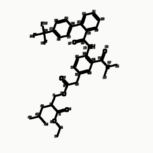 CCOC(=O)C(COC(=O)Cc1ccc(NC(=O)c2ccccc2-c2ccc(C(F)(F)F)cc2)c(C(=O)N(C)C)c1)CC(C)C